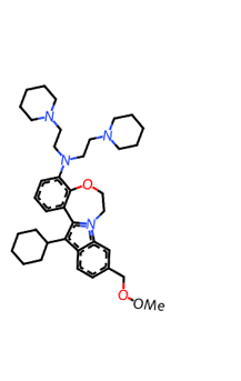 COOCc1ccc2c(C3CCCCC3)c3n(c2c1)CCOc1c-3cccc1N(CCN1CCCCC1)CCN1CCCCC1